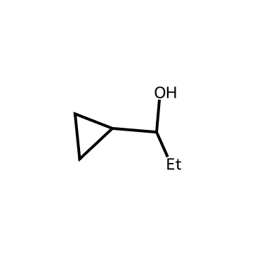 CCC(O)C1CC1